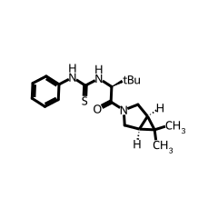 CC(C)(C)[C@H](NC(=S)Nc1ccccc1)C(=O)N1C[C@@H]2[C@H](C1)C2(C)C